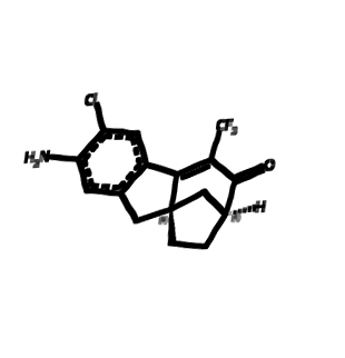 Nc1cc2c(cc1Cl)C1=C(C(F)(F)F)C(=O)[C@H]3CC[C@]1(C2)C3